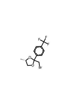 C[C@H]1COC(CBr)(c2ccc(C(F)(F)F)cc2)O1